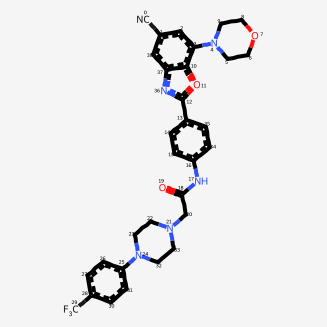 N#Cc1cc(N2CCOCC2)c2oc(-c3ccc(NC(=O)CN4CCN(c5ccc(C(F)(F)F)cc5)CC4)cc3)nc2c1